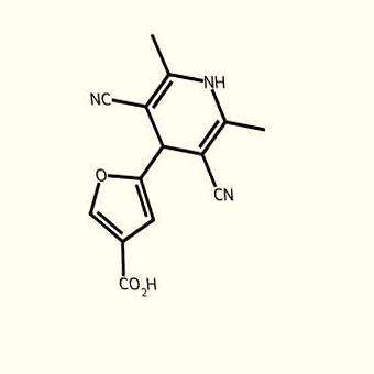 CC1=C(C#N)C(c2cc(C(=O)O)co2)C(C#N)=C(C)N1